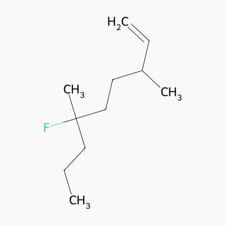 C=CC(C)CCC(C)(F)CCC